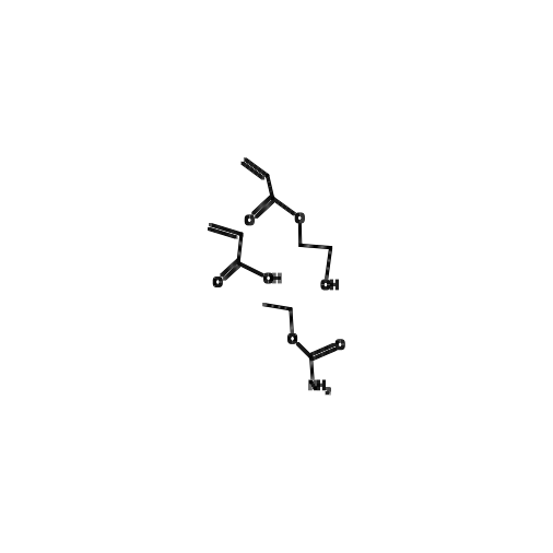 C=CC(=O)O.C=CC(=O)OCCO.CCOC(N)=O